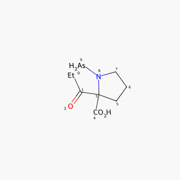 CCC(=O)C1(C(=O)O)CCCN1[AsH2]